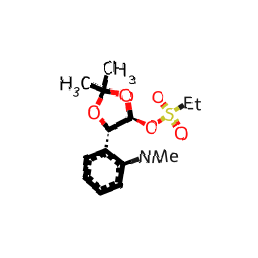 CCS(=O)(=O)O[C@@H]1OC(C)(C)O[C@H]1c1ccccc1NC